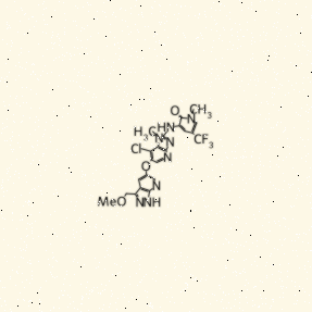 COCc1n[nH]c2ncc(Oc3cnc4nc(Nc5cc(C(F)(F)F)cn(C)c5=O)n(C)c4c3Cl)cc12